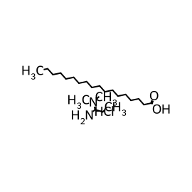 CCC(N)N(C)C.CCCCCCCCCCCCCCCCCC(=O)O.Cl